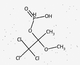 COC(C)(O[PH](=O)O)C(Cl)(Cl)Cl